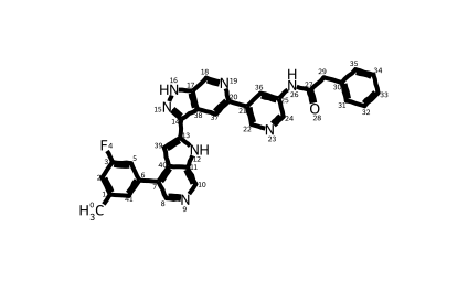 Cc1cc(F)cc(-c2cncc3[nH]c(-c4n[nH]c5cnc(-c6cncc(NC(=O)Cc7ccccc7)c6)cc45)cc23)c1